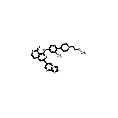 COCCN1CCC(c2ccc(Nc3nc(-c4cnc5nccn5c4)cc4c3C(=O)[N]C=C4)cc2C)CC1